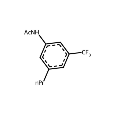 CCCc1cc(NC(C)=O)cc(C(F)(F)F)c1